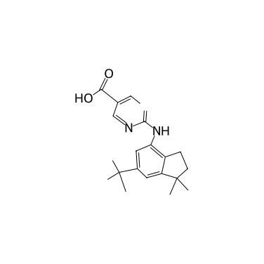 C=C(/N=C\C(=C/C)C(=O)O)Nc1cc(C(C)(C)C)cc2c1CCC2(C)C